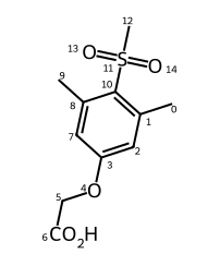 Cc1cc(OCC(=O)O)cc(C)c1S(C)(=O)=O